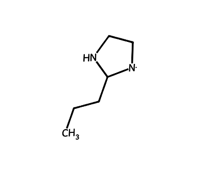 CCCC1[N]CCN1